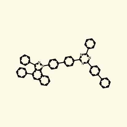 c1ccc(-c2ccc(-c3nc(-c4ccccc4)nc(-c4ccc(-c5ccc(-n6nc(-c7ccccc7)c7c(-c8ccccc8)cc8ccccc8c76)cc5)cc4)n3)cc2)cc1